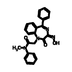 CN(C(=O)Cn1c(=O)c(=NO)nc(-c2ccccc2)c2ccccc21)c1ccccc1